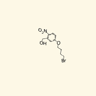 O=[N+]([O-])c1ccc(OCCCCBr)cc1CO